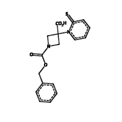 O=C(OCc1ccccc1)N1CC(C(=O)O)(n2ccccc2=S)C1